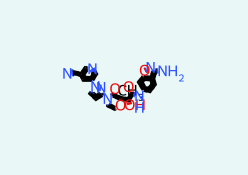 CC1(C(O)C(=O)Nc2ccc3c(N)noc3c2)OCCN(c2ccn(-c3cncc(C#N)c3)n2)C1=O